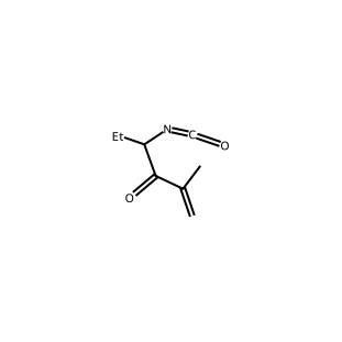 C=C(C)C(=O)C(CC)N=C=O